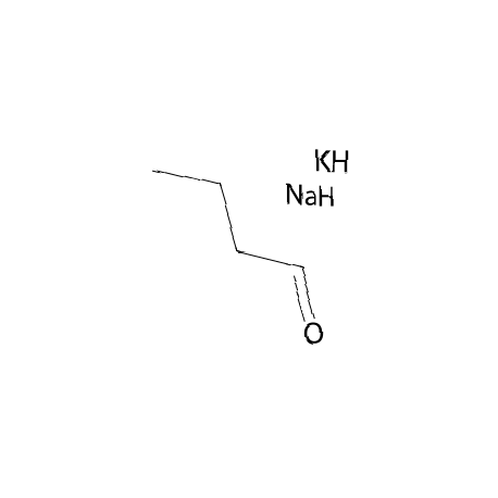 CCCC=O.[KH].[NaH]